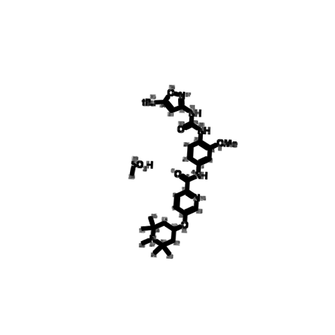 COc1cc(NC(=O)c2ccc(OC3CC(C)(C)N(C)C(C)(C)C3)cn2)ccc1NC(=O)Nc1cc(C(C)(C)C)on1.CS(=O)(=O)O